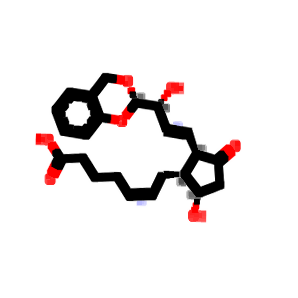 O=C(O)CCC/C=C\C[C@H]1[C@@H](O)CC(=O)[C@@H]1/C=C/[C@@H](O)[C@H]1OCc2ccccc2O1